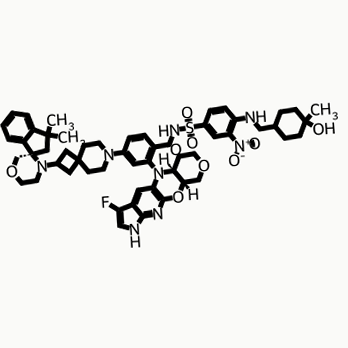 CC1(O)CCC(CNc2ccc(S(=O)(=O)NC(=O)c3ccc(N4CCC5(CC4)CC(N4CCOC[C@]46CC(C)(C)c4ccccc46)C5)cc3N3c4cc5c(F)c[nH]c5nc4O[C@H]4COCC[C@@H]43)cc2[N+](=O)[O-])CC1